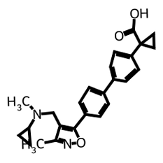 Cc1noc(-c2ccc(-c3ccc(C4(C(=O)O)CC4)cc3)cc2)c1CN(C)C1CC1